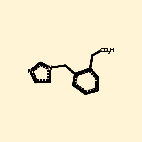 O=C(O)Cc1ccccc1Cn1ccnc1